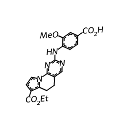 CCOC(=O)c1ccn2c1CCc1cnc(Nc3ccc(C(=O)O)cc3OC)nc1-2